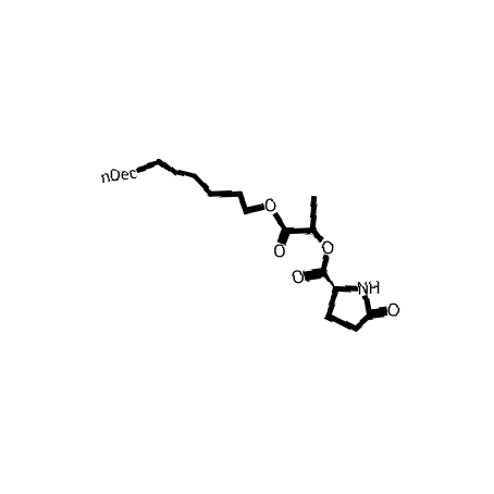 CCCCCCCCCCCCCCCCOC(=O)C(C)OC(=O)[C@@H]1CCC(=O)N1